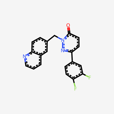 O=c1ccc(-c2ccc(F)c(F)c2)nn1Cc1ccc2ncccc2c1